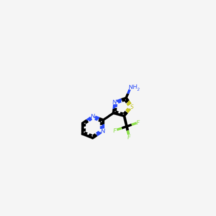 Nc1nc(-c2ncccn2)c(C(F)(F)F)s1